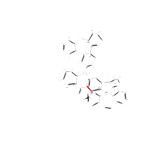 C1=Cc2ccccc2C2(c3ccccc31)c1ccccc1-c1cc(N(c3ccc4c(c3)-c3ccccc3Oc3ccccc3-4)c3ccccc3-c3ccccc3)ccc12